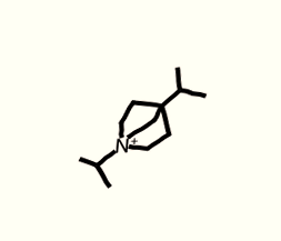 CC(C)C12CC[N+](C(C)C)(CC1)CC2